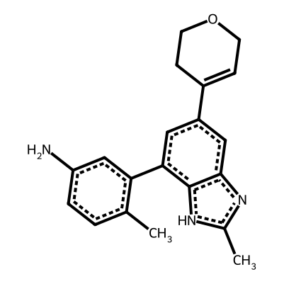 Cc1nc2cc(C3=CCOCC3)cc(-c3cc(N)ccc3C)c2[nH]1